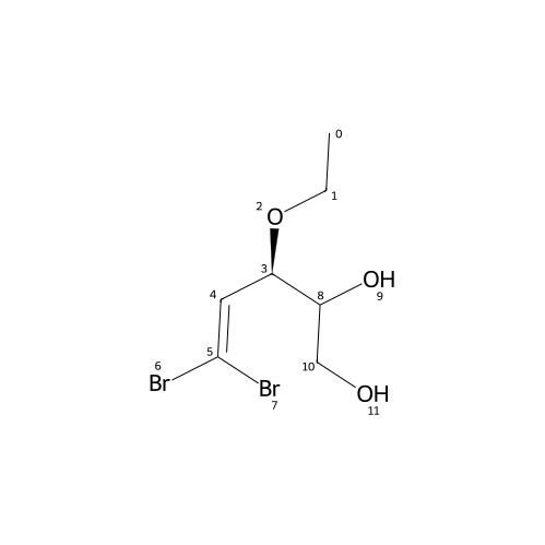 CCO[C@H](C=C(Br)Br)C(O)CO